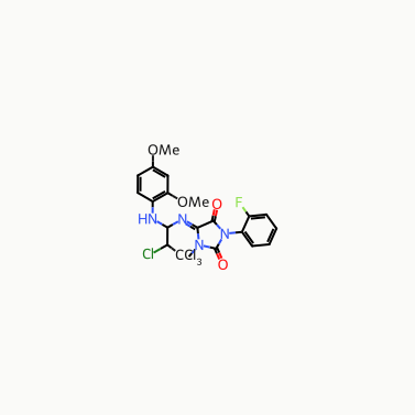 COc1ccc(NC(N=C2C(=O)N(c3ccccc3F)C(=O)N2C)C(Cl)C(Cl)(Cl)Cl)c(OC)c1